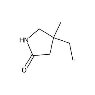 [CH2]CC1(C)CNC(=O)C1